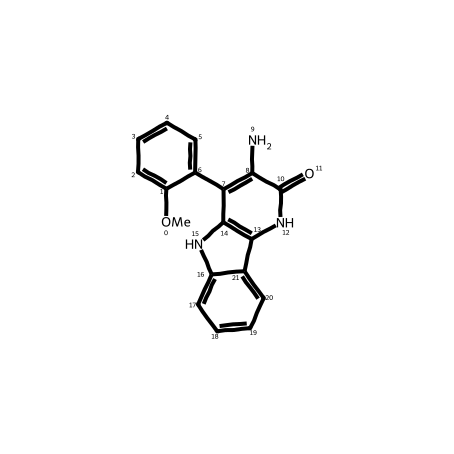 COc1ccccc1-c1c(N)c(=O)[nH]c2c1[nH]c1ccccc12